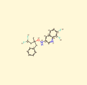 CC(Cc1ccccc1)(CC(F)F)ONc1cnc2c(F)c(F)ccc2c1